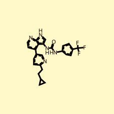 O=C(Nc1ccc(C(F)(F)F)cc1)Nc1c[nH]c2nccc(-c3ccc(CCC4CC4)nc3)c12